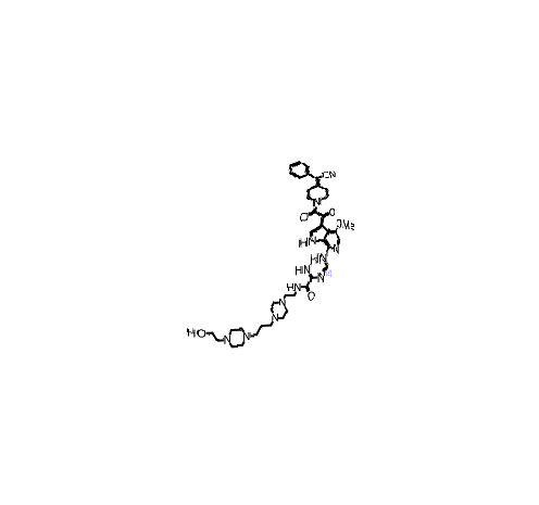 COc1cnc(N/C=N\C(=N)C(=O)NCCN2CCN(CCCN3CCN(CCO)CC3)CC2)c2[nH]cc(C(=O)C(=O)N3CCC(=C(C#N)c4ccccc4)CC3)c12